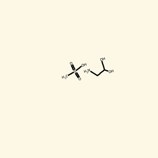 CS(=O)(=O)O.NCC(O)O